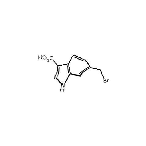 O=C(O)c1n[nH]c2cc(CBr)ccc12